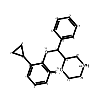 Fc1cccc(C2CC2)c1OC(c1ccccc1)C1CNCCO1